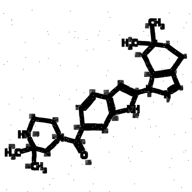 CC1(C)CCc2cnn(-c3cc4ccc(C(=O)N5CCNC(C)(C)C5)cc4[nH]3)c2C1